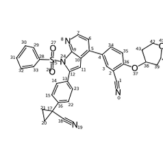 N#Cc1cc(-c2ccnc3c2cc(-c2ccc(C4(C#N)CC4)cc2)n3S(=O)(=O)c2ccccc2)ccc1OC1CCOCC1